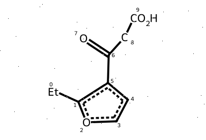 CCc1occc1C(=O)CC(=O)O